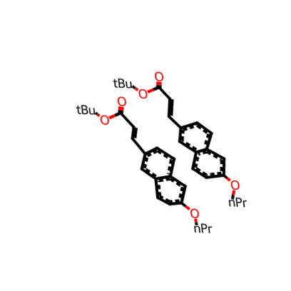 CCCOc1ccc2cc(C=CC(=O)OC(C)(C)C)ccc2c1.CCCOc1ccc2cc(C=CC(=O)OC(C)(C)C)ccc2c1